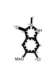 COc1cc2c(=O)n(C)[nH]c2cc1Cl